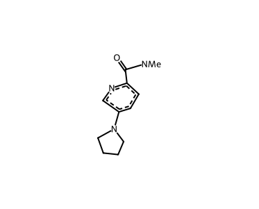 CNC(=O)c1ccc(N2CCCC2)cn1